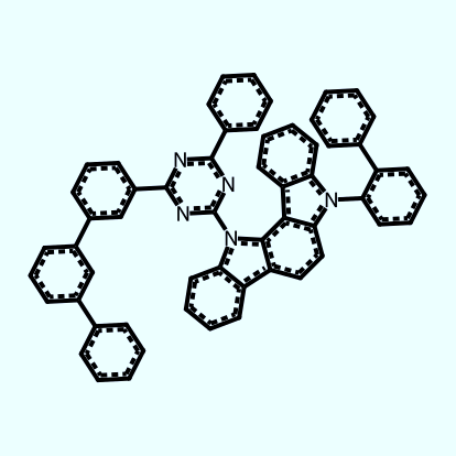 c1ccc(-c2cccc(-c3cccc(-c4nc(-c5ccccc5)nc(-n5c6ccccc6c6ccc7c(c8ccccc8n7-c7ccccc7-c7ccccc7)c65)n4)c3)c2)cc1